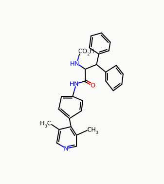 Cc1cncc(C)c1-c1ccc(NC(=O)C(NC(=O)O)C(c2ccccc2)c2ccccc2)cc1